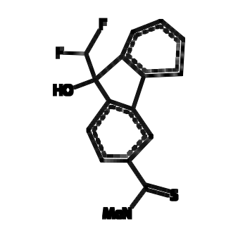 CNC(=S)c1ccc2c(c1)-c1ccccc1C2(O)C(F)F